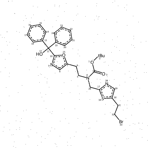 CC(C)(C)OC(=O)N(CCc1cnc(C(O)(c2ccccc2)c2ccccc2)o1)Cc1ncc(CCBr)s1